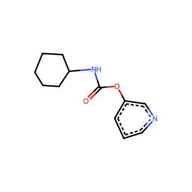 O=C(NC1CCCCC1)Oc1cccnc1